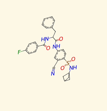 N#Cc1cc(NC(=O)C(Cc2ccccc2)NC(=O)c2ccc(F)cc2)ccc1S(=O)(=O)NC12CC(C1)C2